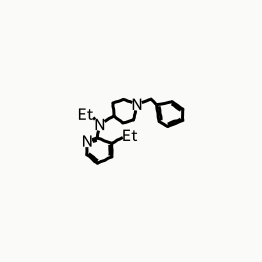 CCc1cccnc1N(CC)C1CCN(Cc2ccccc2)CC1